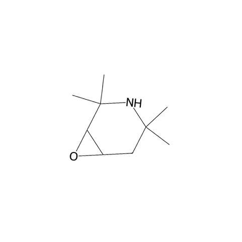 CC1(C)CC2OC2C(C)(C)N1